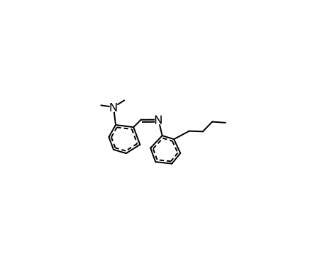 CCCCc1ccccc1/N=C\c1ccccc1N(C)C